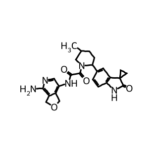 CC1CCC(c2ccc3c(c2)C2(CC2)C(=O)N3)N(C(=O)C(=O)Nc2cnc(N)c3c2COC3)C1